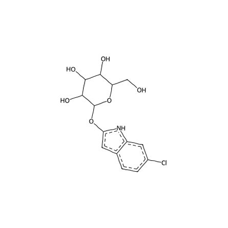 OCC1OC(Oc2cc3ccc(Cl)cc3[nH]2)C(O)C(O)C1O